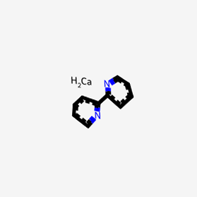 [CaH2].c1ccc(-c2ccccn2)nc1